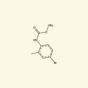 CCCCOC(=O)Nc1ccc(Br)cc1C